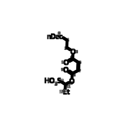 CCCCCCCCCCCCOC(=O)/C=C\C(=O)OC(CC)S(=O)(=O)O